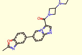 Cc1nc2cc(-c3ccc4ncc(C(=O)N5CC(N6CC[C@@H](O)C6)C5)n4c3)ccc2o1